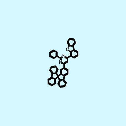 c1ccc(-c2nc(-c3ccc4c(c3)C3(c5ccccc5-c5ccccc53)c3ccccc3-4)cc(-c3cccc4c3oc3ccccc34)n2)cc1